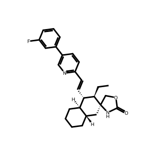 CC[C@@H]1[C@@H](/C=C/c2ccc(-c3cccc(F)c3)cn2)[C@@H]2CCCC[C@H]2C[C@@]12COC(=O)N2